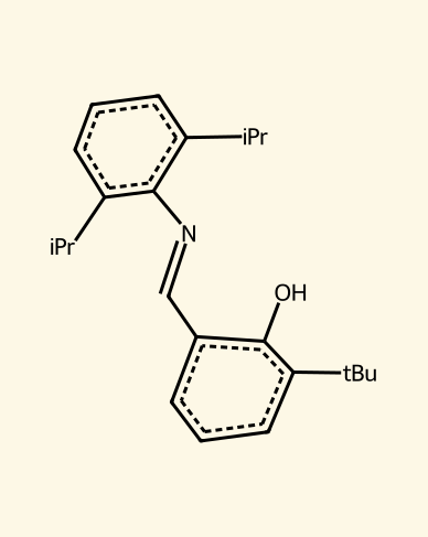 CC(C)c1cccc(C(C)C)c1N=Cc1cccc(C(C)(C)C)c1O